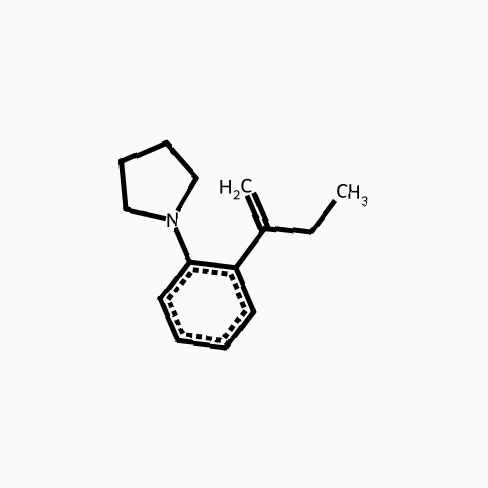 C=C(CC)c1ccccc1N1CCCC1